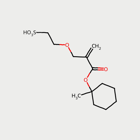 C=C(COCCS(=O)(=O)O)C(=O)OC1(C)CCCCC1